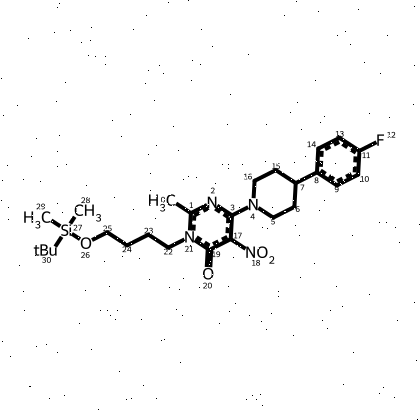 Cc1nc(N2CCC(c3ccc(F)cc3)CC2)c([N+](=O)[O-])c(=O)n1CCCCO[Si](C)(C)C(C)(C)C